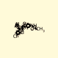 CCOC(=O)Nc1ccc(S(=O)(=O)CC2COC(Cn3ccnc3)(c3ccc(Cl)cc3Cl)O2)cc1